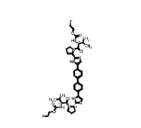 CC(C)[C@H](NC(=O)OCCF)C(=O)N1CCCC1c1ncc(-c2ccc(-c3ccc(-c4cnc([C@@H]5CCCN5C(=O)[C@@H](NC(=O)OCCF)C(C)C)[nH]4)cc3)cc2)[nH]1